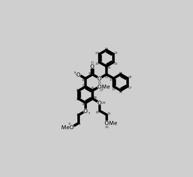 COCCOc1ccc(C([O])C(=O)OC(c2ccccc2)c2ccccc2)c(OC)c1OCCOC